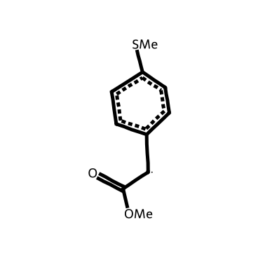 COC(=O)[CH]c1ccc(SC)cc1